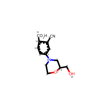 N#Cc1cc(N2CCOC(CO)C2)ccc1C(=O)O